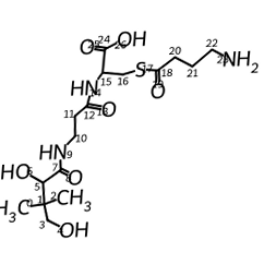 CC(C)(CO)C(O)C(=O)NCCC(=O)NC(CSC(=O)CCCN)C(=O)O